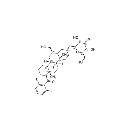 C[C@]12CC[C@H](O[C@@H]3O[C@H](CO)[C@@H](O)[C@H](O)[C@H]3O)CC1[C@H](CO)C[C@@H]1[C@@H]2CC[C@@]2(C)[C@H]1CCCN2C(=O)c1c(F)cccc1F